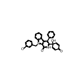 O=C1C=CC(O)(c2[nH]c(=O)c3c(c2-c2ccccc2)c2ccccc2n3Cc2cccc(Cl)c2)C=C1